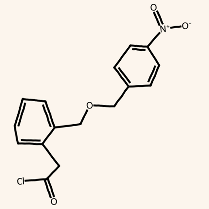 O=C(Cl)Cc1ccccc1COCc1ccc([N+](=O)[O-])cc1